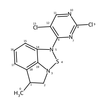 CC1CN2SN(c3nc(Cl)ncc3Cl)c3cccc1c32